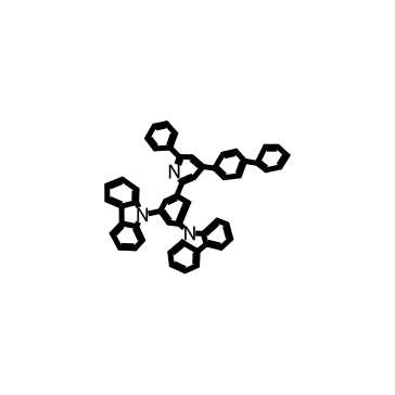 c1ccc(-c2ccc(-c3cc(-c4ccccc4)nc(-c4cc(-n5c6ccccc6c6ccccc65)cc(-n5c6ccccc6c6ccccc65)c4)c3)cc2)cc1